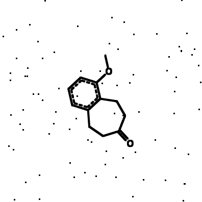 COc1cccc2c1CCC(=O)CC2